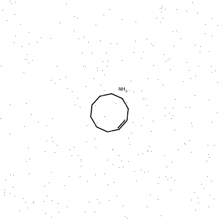 C1=CCCCCCCCC1.N